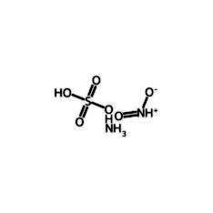 N.O=S(=O)(O)O.O=[NH+][O-]